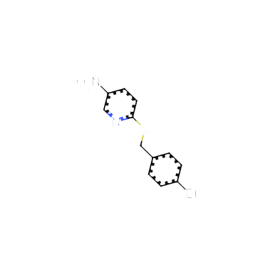 CCc1ccc(CSc2ccc([N+](=O)[O-])cn2)cc1